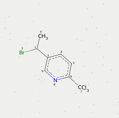 CC(Br)c1ccc(C(Cl)(Cl)Cl)nc1